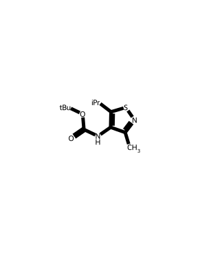 Cc1nsc(C(C)C)c1NC(=O)OC(C)(C)C